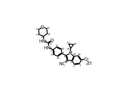 CCOc1ccc2c(C#N)c(-c3ccc(NC(=O)NC4CCOCC4)cc3)n(C3CC3)c2c1